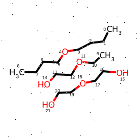 CCCCOCCCC.CCOCCO.OCCOCCO